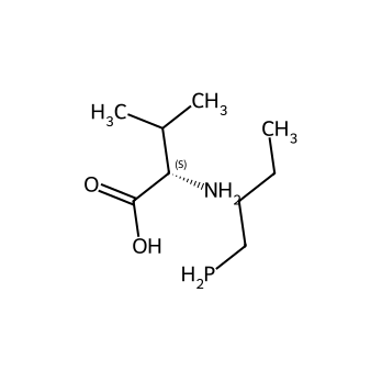 CC(C)[C@H](N)C(=O)O.CCCCP